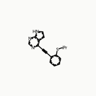 CC(C)Sc1ccccc1C#Cc1ncnc2[nH]ccc12